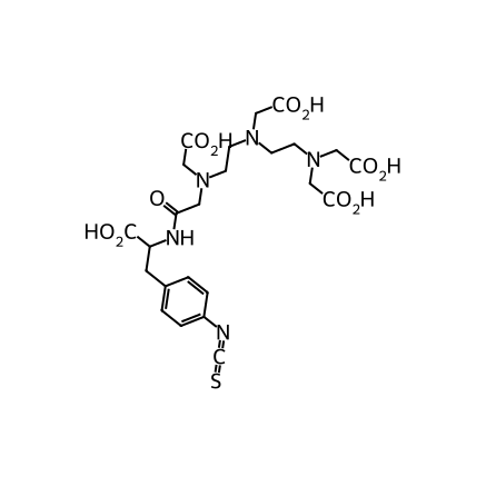 O=C(O)CN(CCN(CC(=O)O)CC(=O)O)CCN(CC(=O)O)CC(=O)NC(Cc1ccc(N=C=S)cc1)C(=O)O